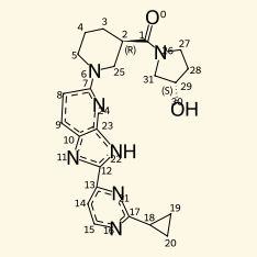 O=C([C@@H]1CCCN(c2ccc3nc(-c4ccnc(C5CC5)n4)[nH]c3n2)C1)N1CC[C@H](O)C1